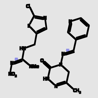 CC1=NNC(=O)N(/N=C/c2cccnc2)C1.CN/C(=N\[N+](=O)[O-])NCc1cnc(Cl)s1